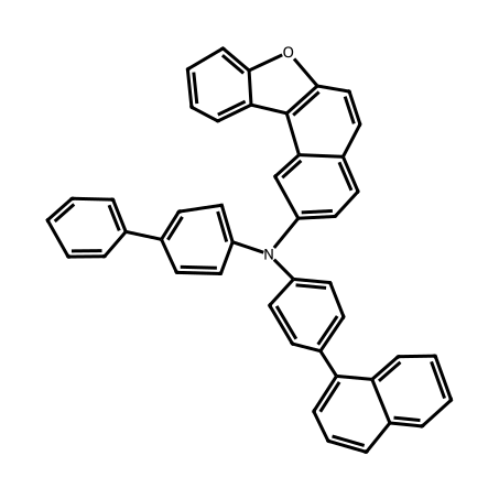 c1ccc(-c2ccc(N(c3ccc(-c4cccc5ccccc45)cc3)c3ccc4ccc5oc6ccccc6c5c4c3)cc2)cc1